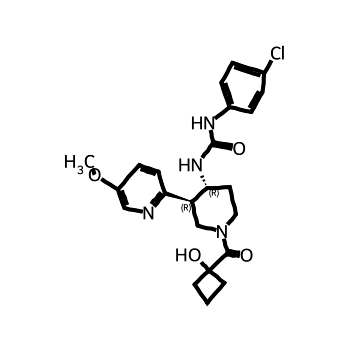 COc1ccc([C@@H]2CN(C(=O)C3(O)CCC3)CC[C@H]2NC(=O)Nc2ccc(Cl)cc2)nc1